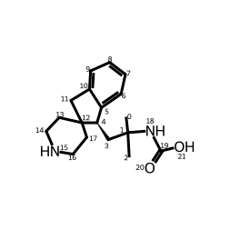 CC(C)(C[C@@H]1c2ccccc2CC12CCNCC2)NC(=O)O